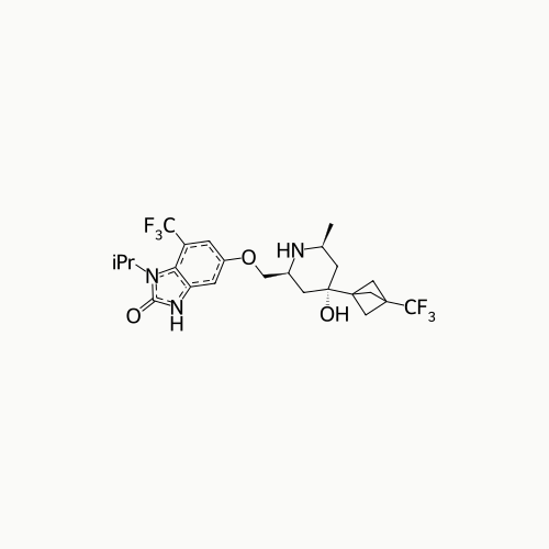 CC(C)n1c(=O)[nH]c2cc(OC[C@@H]3C[C@](O)(C45CC(C(F)(F)F)(C4)C5)C[C@H](C)N3)cc(C(F)(F)F)c21